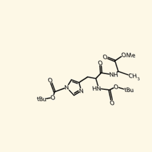 COC(=O)C(C)NC(=O)C(Cc1cn(C(=O)OC(C)(C)C)cn1)NC(=O)OC(C)(C)C